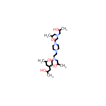 CC(O)CC(CCN(CCN1CCN(CCN(CC(C)O)CC(C)O)CC1)CC(C)O)CC(C)O